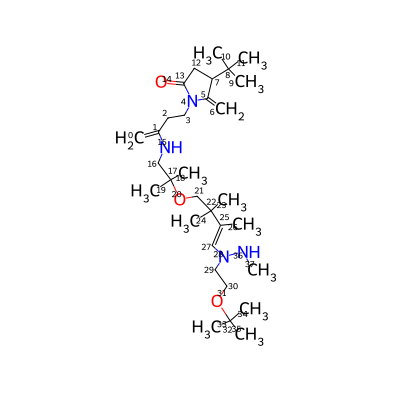 C=C(CCN1C(=C)C(C(C)(C)C)CC1=O)NCC(C)(C)OCC(C)(C)/C(C)=C/N(CCOC(C)(C)C)NC